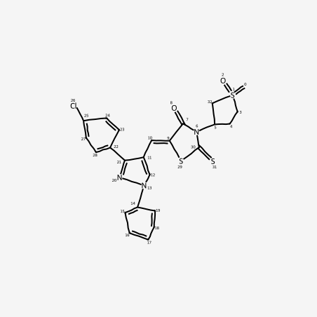 C=S1(=O)CCC(N2C(=O)/C(=C/c3cn(-c4ccccc4)nc3-c3ccc(Cl)cc3)SC2=S)C1